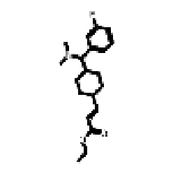 CCOC(=O)/C=C/C1CCC(C(c2cccc(F)c2)N(C)C)CC1